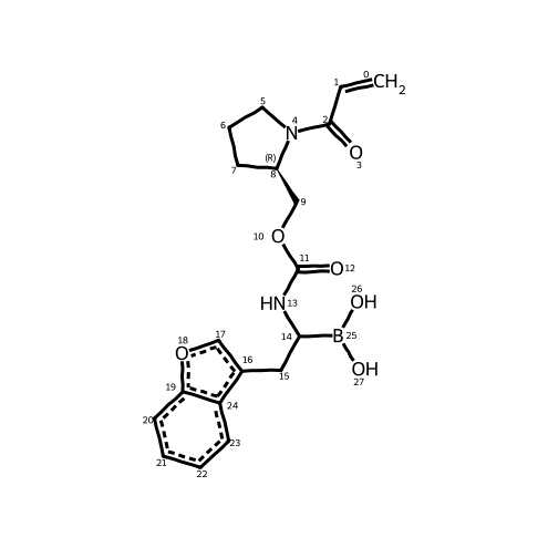 C=CC(=O)N1CCC[C@@H]1COC(=O)NC(Cc1coc2ccccc12)B(O)O